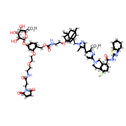 Cc1c(-c2ccc(N3CCc4c(F)ccc(C(=O)Nc5nc6ccccc6s5)c4C3)nc2C(=O)O)cnn1CC12CC3(C)CC(C)(C1)CC(OCCNC(=O)OCc1ccc(O[C@@H]4O[C@H](C(=O)O)[C@@H](O)[C@H](O)C4O)cc1OCCOCCNC(=O)CCN1C(=O)C=CC1=O)(C3)C2